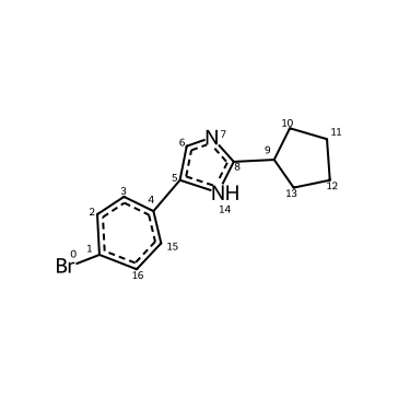 Brc1ccc(-c2cnc(C3CCCC3)[nH]2)cc1